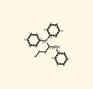 CCCC(Pc1ccccc1)P(c1ccccc1)c1ccccc1